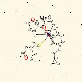 COC1CCC2(CC1)Cc1ccc(CCC3CC3)cc1C21N=C(SCC2CCOCC2)C(CC2CCOCC2)C1=O